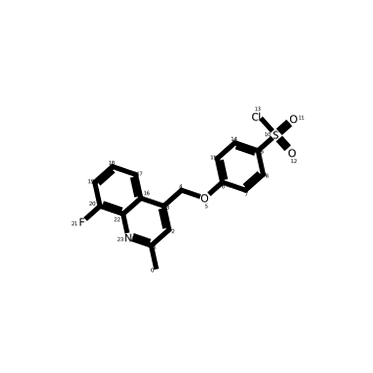 Cc1cc(COc2ccc(S(=O)(=O)Cl)cc2)c2cccc(F)c2n1